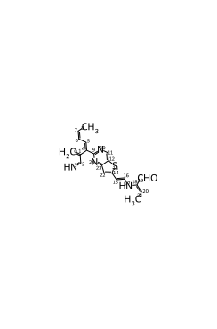 C=C(C=N)/C(=C\C=C/C)c1ncc2sc(/C=C/N/C(C=O)=C\C)cc2n1